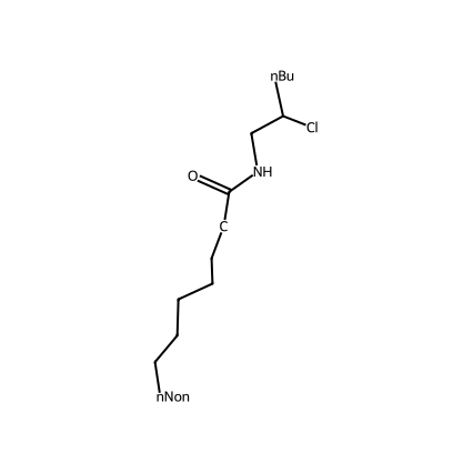 CCCCCCCCCCCCCCCC(=O)NCC(Cl)CCCC